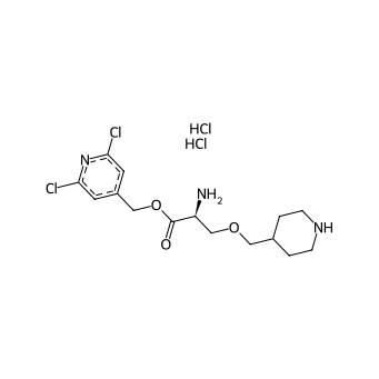 Cl.Cl.N[C@@H](COCC1CCNCC1)C(=O)OCc1cc(Cl)nc(Cl)c1